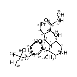 CC(C)C[C@H](C(=O)N1CCNC[C@@]1(C)c1cccc(OC(C)(C)F)c1)[C@H](O)C(=O)NO